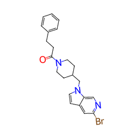 O=C(CCc1ccccc1)N1CCC(Cn2ccc3cc(Br)ncc32)CC1